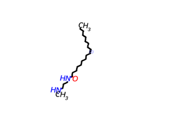 CCCCCCCC/C=C\CCCCCCCC(=O)NCCCNC